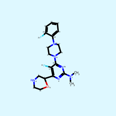 CN(C)c1nc(C2CNCCO2)c(F)c(N2CCN(c3ccccc3F)CC2)n1